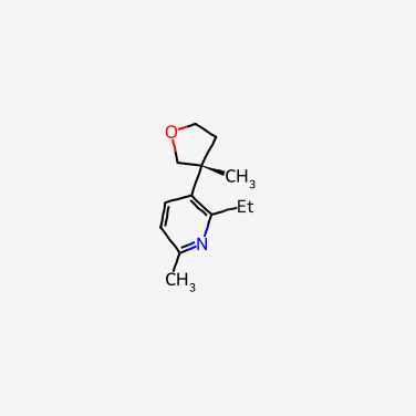 CCc1nc(C)ccc1[C@@]1(C)CCOC1